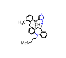 CNCCCN1c2ccccc2CCc2ccccc21.Cc1cccc([C@H](C)c2cnc[nH]2)c1C